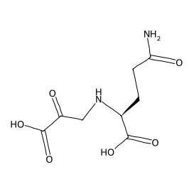 NC(=O)CC[C@H](NCC(=O)C(=O)O)C(=O)O